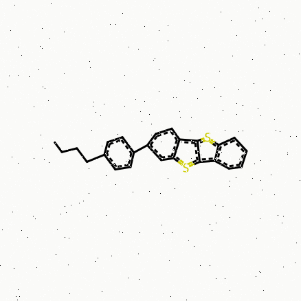 CCCCc1ccc(-c2ccc3c(c2)sc2c4ccccc4sc32)cc1